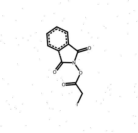 O=C(CI)ON1C(=O)c2ccccc2C1=O